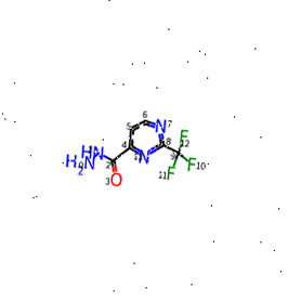 NNC(=O)c1ccnc(C(F)(F)F)n1